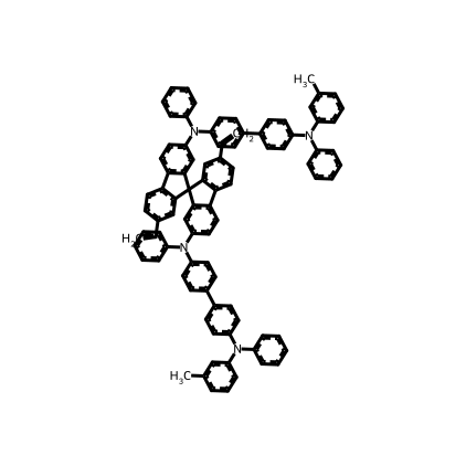 C=Cc1ccc2c(c1)C1(c3cc(C=C)ccc3-c3ccc(N(c4ccccc4)c4ccc(-c5ccc(N(c6ccccc6)c6cccc(C)c6)cc5)cc4)cc31)c1cc(N(c3ccccc3)c3ccc(-c4ccc(N(c5ccccc5)c5cccc(C)c5)cc4)cc3)ccc1-2